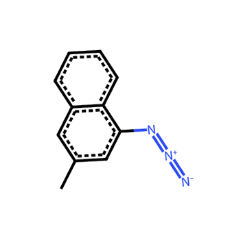 Cc1cc(N=[N+]=[N-])c2ccccc2c1